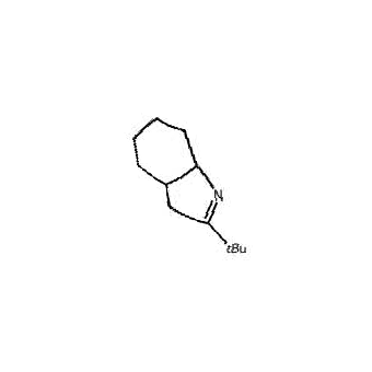 CC(C)(C)C1=NC2CCCCC2C1